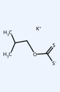 CC(C)COC(=S)[S-].[K+]